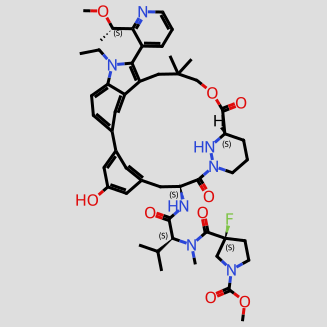 CCn1c(-c2cccnc2[C@H](C)OC)c2c3cc(ccc31)-c1cc(O)cc(c1)C[C@H](NC(=O)[C@H](C(C)C)N(C)C(=O)[C@]1(F)CCN(C(=O)OC)C1)C(=O)N1CCC[C@H](N1)C(=O)OCC(C)(C)C2